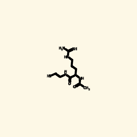 CC(=O)NC(CCCNC(=N)N)C(=O)NCCS